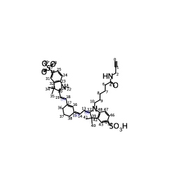 C#CCNC(=O)CCCCCN1/C(=C/C=C2C=C(/C=C/C3=[N+](C)c4ccc(S(=O)(=O)[O-])cc4C3(C)C)CCC\2)C(C)(C)c2cc(S(=O)(=O)O)ccc21